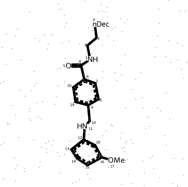 CCCCCCCCCCCCNC(=O)c1ccc(CNc2cccc(OC)c2)cc1